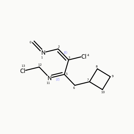 C=N/C=C(Cl)\C(CC1CCC1)=N/CCl